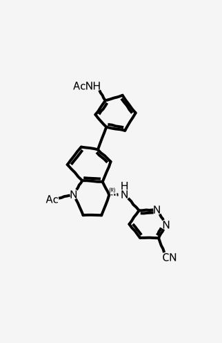 CC(=O)Nc1cccc(-c2ccc3c(c2)[C@H](Nc2ccc(C#N)nn2)CCN3C(C)=O)c1